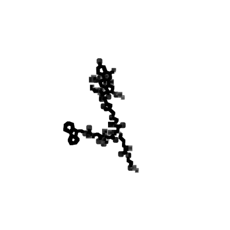 C=CCOC(=O)NCCCC[C@H](NC(=O)[C@H](CO)NC(=O)CNC(=O)OCC1c2ccccc2-c2ccccc21)C(=O)NCOCc1coc(C(=O)O[C@]2(C(=O)SCF)[C@H](C)C[C@H]3[C@@H]4C[C@H](F)C5=CC(=O)C=C[C@]5(C)[C@@]4(F)[C@@H](O)C[C@@]32C)c1